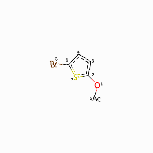 CC(=O)Oc1ccc(Br)s1